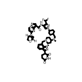 CN(CC1CCC(n2cc(NC(=O)c3cnn4ccc(N5C[C@H]6C[C@@H]5CO6)nc34)c(C(F)F)n2)CC1)C1CCN(Cc2cccc3c(C4CCC(=O)NC4=O)nn(C)c23)CC1